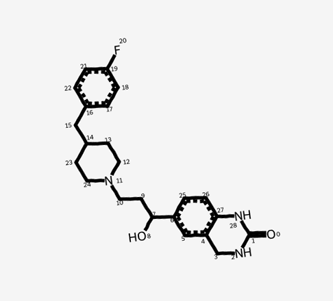 O=C1NCc2cc(C(O)CCN3CCC(Cc4ccc(F)cc4)CC3)ccc2N1